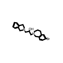 OC(CN1CCCc2cc(Br)ccc2C1)CN1CCc2ccccc2C1